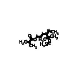 C=C(C)C(=O)OCCCC(CC)C(C)(C)O[SiH3]